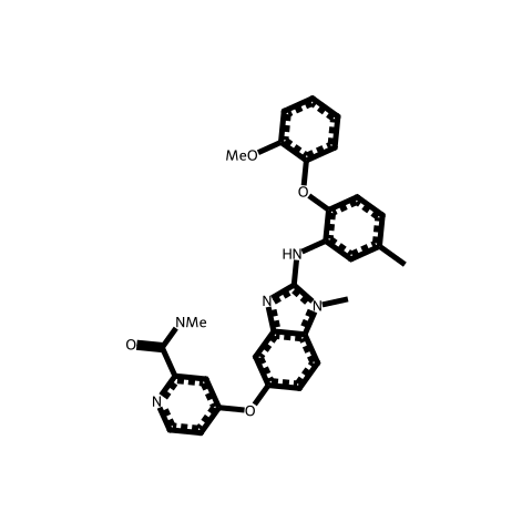 CNC(=O)c1cc(Oc2ccc3c(c2)nc(Nc2cc(C)ccc2Oc2ccccc2OC)n3C)ccn1